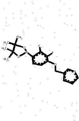 CC1(C)OB(c2ccc(OCc3cccnc3)c(F)c2F)OC1(C)C